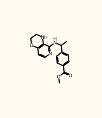 COC(=O)c1ccc(C(C)Nc2nccc3c2NCCO3)cc1